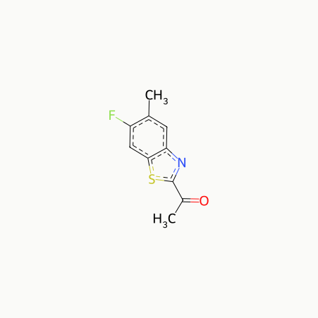 CC(=O)c1nc2cc(C)c(F)cc2s1